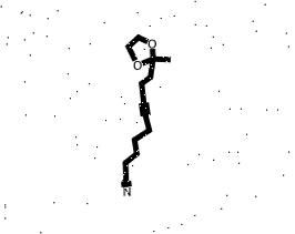 CC1(CCC#CCCCCC#N)OCCO1